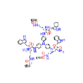 CC(C)(C)OC(=O)NCCCC[C@](N)(C(=O)Cc1c[nH]c2ccccc12)C(=O)Nc1ccc(N(c2ccc(NC(=O)[C@](N)(CCCCNC(=O)OC(C)(C)C)C(=O)Cc3c[nH]c4ccccc34)cc2)c2ccc(NC(=O)[C@](N)(CCCCNC(=O)OC(C)(C)C)C(=O)Cc3c[nH]c4ccccc34)cc2)cc1